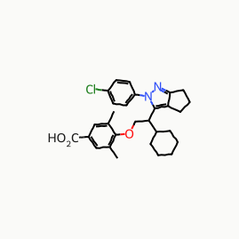 Cc1cc(C(=O)O)cc(C)c1OCC(c1c2c(nn1-c1ccc(Cl)cc1)CCC2)C1CCCCC1